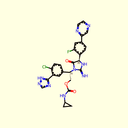 N=C1N[C@H](c2ccc(-c3cnccn3)cc2F)C(=O)N1[C@H](COC(=O)NC1CC1)c1ccc(Cl)c(-c2ncn[nH]2)c1